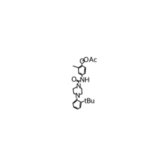 CC(=O)OOc1ccc(NC(=O)N2CCN(c3ccccc3C(C)(C)C)CC2)cc1C